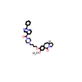 COc1cc2c(cc1OCCCCN1CCN(C(=O)c3cccn4c(-c5ccccc5)ncc34)CC1)C=C[C@@H]1CCCN1C2=O